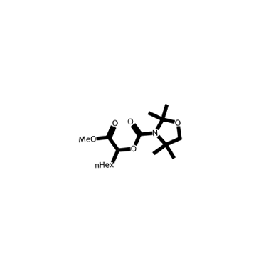 CCCCCCC(OC(=O)N1C(C)(C)COC1(C)C)C(=O)OC